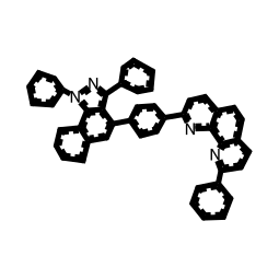 c1ccc(-c2ccc3ccc4ccc(-c5ccc(-c6cc7ccccc7c7c6c(-c6ccccc6)nn7-c6ccccc6)cc5)nc4c3n2)cc1